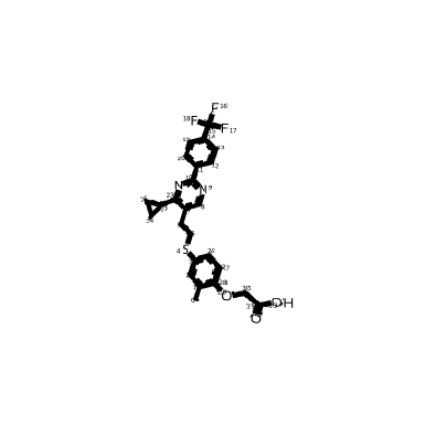 Cc1cc(SCCc2cnc(-c3ccc(C(F)(F)F)cc3)nc2C2CC2)ccc1OCC(=O)O